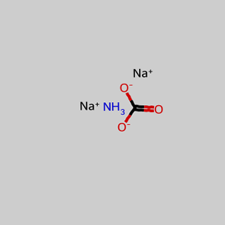 N.O=C([O-])[O-].[Na+].[Na+]